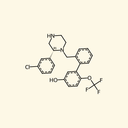 Oc1ccc(OC(F)(F)F)c(-c2ccccc2CN2CCNC[C@H]2c2cccc(Cl)c2)c1